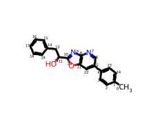 Cc1ccc(-c2cnc3nc(C(O)Cc4ccccc4)oc3c2)cc1